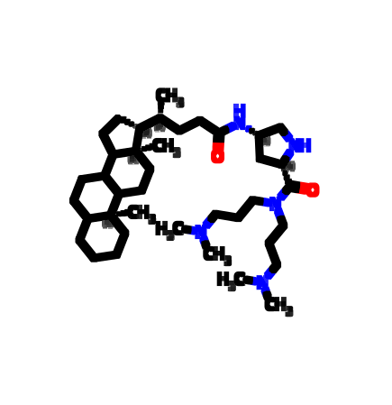 C[C@H](CCC(=O)N[C@@H]1CN[C@H](C(=O)N(CCCN(C)C)CCCN(C)C)C1)[C@H]1CCC2C3CCC4CCCC[C@]4(C)C3CC[C@@]21C